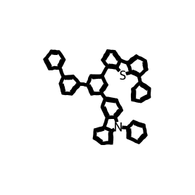 c1ccc(-c2cccc(-c3cc(-c4ccc5c(c4)c4ccccc4n5-c4ccccc4)cc(-c4cccc5c4sc4c(-c6ccccc6)cccc45)c3)c2)cc1